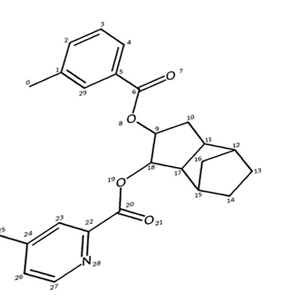 Cc1cccc(C(=O)OC2CC3C4CCC(C4)C3C2OC(=O)c2cc(C)ccn2)c1